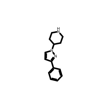 c1ccc(-c2ccn(C3CCNCC3)n2)cc1